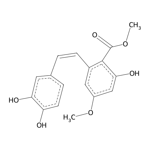 COC(=O)c1c(O)cc(OC)cc1/C=C\c1ccc(O)c(O)c1